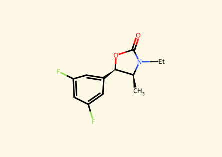 CCN1C(=O)O[C@H](c2cc(F)cc(F)c2)[C@@H]1C